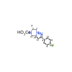 C[C@@H]1Cn2nc(-c3ccc(F)cc3)cc2CN1C(=O)O